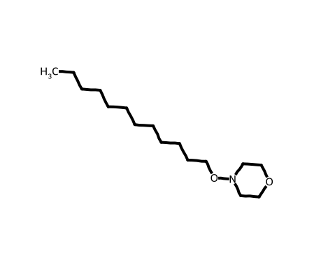 CCCCCCCCCCCCON1CCOCC1